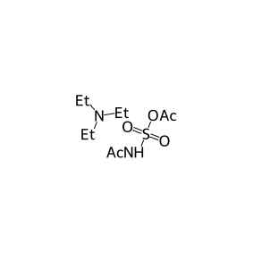 CC(=O)NS(=O)(=O)OC(C)=O.CCN(CC)CC